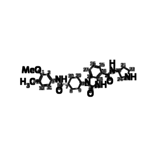 COc1cc(NC(=O)[C@H]2CC[C@@H](n3c(=O)[nH]c4c(C(=O)NC5CCNC5)cccc43)CC2)ccc1C